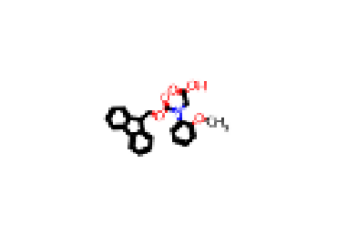 COc1ccccc1N(CC(=O)O)C(=O)OCC1c2ccccc2-c2ccccc21